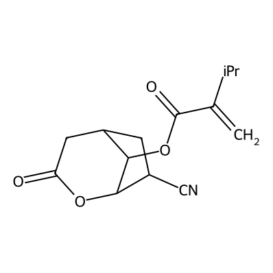 C=C(C(=O)OC1C2CC(=O)OC1C(C#N)C2)C(C)C